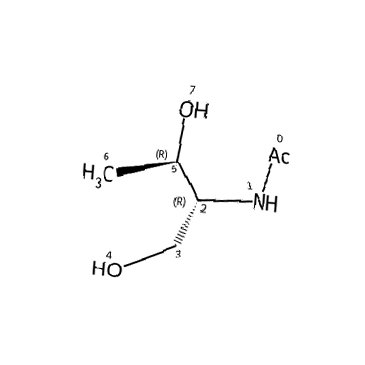 CC(=O)N[C@H](CO)[C@@H](C)O